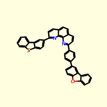 c1ccc2c(c1)oc1ccc(-c3ccc(-c4ccc5ccc6ccc(-c7ccc8sc9ccccc9c8c7)nc6c5n4)cc3)cc12